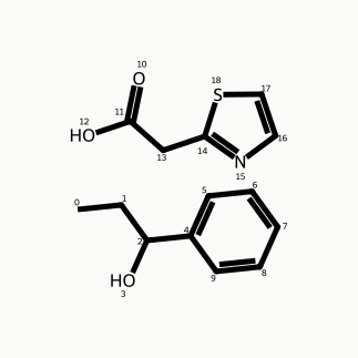 CCC(O)c1ccccc1.O=C(O)Cc1nccs1